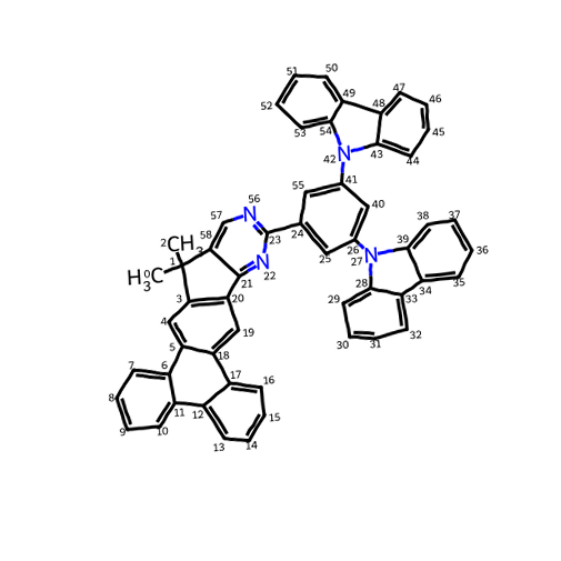 CC1(C)c2cc3c4ccccc4c4ccccc4c3cc2-c2nc(-c3cc(-n4c5ccccc5c5ccccc54)cc(-n4c5ccccc5c5ccccc54)c3)ncc21